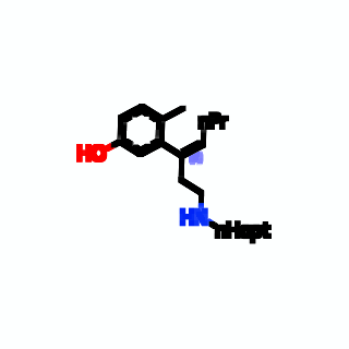 CCC/C=C(/CCNCCCCCCC)c1cc(O)ccc1C